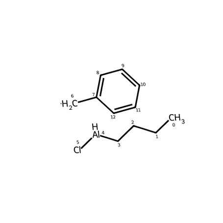 CCC[CH2][AlH][Cl].[CH2]c1ccccc1